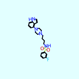 O=S(=O)(NCCCCN1CCN(c2cccc3[nH]ccc23)CC1)c1cccc(F)c1